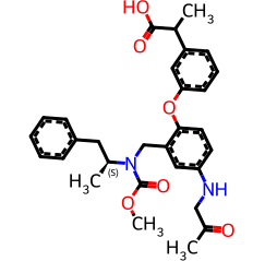 COC(=O)N(Cc1cc(NCC(C)=O)ccc1Oc1cccc(C(C)C(=O)O)c1)[C@@H](C)Cc1ccccc1